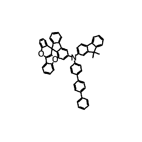 CC1(C)c2ccccc2-c2ccc(N(c3ccc(-c4ccc(-c5ccccc5)cc4)cc3)c3ccc4c(c3)-c3ccccc3C43c4ccccc4Oc4c3oc3ccccc43)cc21